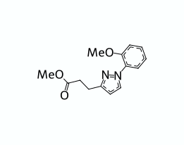 COC(=O)CCc1ccn(-c2ccccc2OC)n1